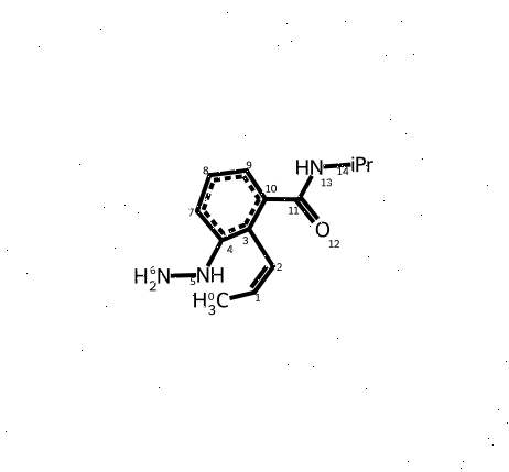 C/C=C\c1c(NN)cccc1C(=O)NC(C)C